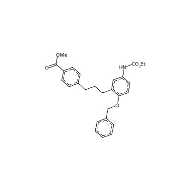 CCOC(=O)Nc1ccc(OCc2ccccc2)c(CCCc2ccc(C(=O)OC)cc2)c1